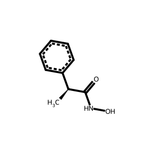 C[C@H](C(=O)NO)c1ccccc1